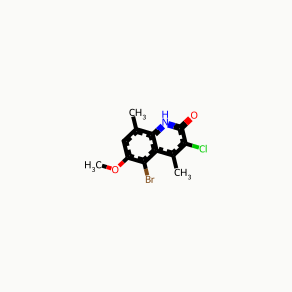 COc1cc(C)c2[nH]c(=O)c(Cl)c(C)c2c1Br